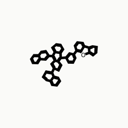 c1cc(-c2c3ccccc3c(-c3ccc4ccccc4c3)c3cc(-c4cccc5ccccc45)ccc23)cc(-c2cccc3c2oc2ccccc23)c1